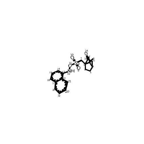 CC1(C)C2CCC1(CS(=O)(=O)ONc1cccc3ccccc13)C(=O)C2